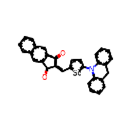 O=C1C(=Cc2ccc(N3c4ccccc4Cc4ccccc43)[se]2)C(=O)c2cc3ccccc3cc21